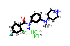 CCCN(c1cccc(NC(=O)c2ccc(F)cc2Cl)c1)C1CCNCC1.Cl.Cl